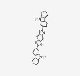 CCn1c2c(c3ccc(-c4nc5cc6sc(-c7ccc8c9c(n(CC)c8c7)=CCCC=9)nc6cc5s4)cc31)=CCCC=2